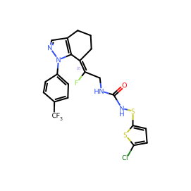 O=C(NC/C(F)=C1\CCCc2cnn(-c3ccc(C(F)(F)F)cc3)c21)NSc1ccc(Cl)s1